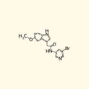 COc1ccc2[nH]cc(CC(=O)Nc3cncc(Br)c3)c2c1